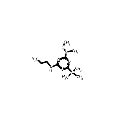 CCCNc1nc(N(C)OC)nc([N+](C)(C)C)n1